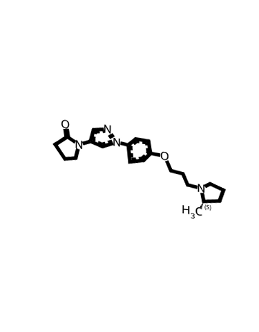 C[C@H]1CCCN1CCCOc1ccc(-n2cc(N3CCCC3=O)cn2)cc1